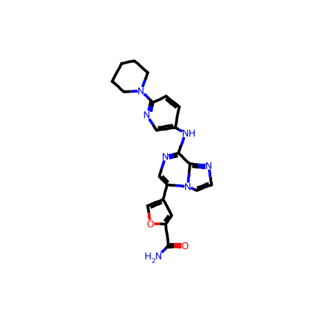 NC(=O)c1cc(-c2cnc(Nc3ccc(N4CCCCC4)nc3)c3nccn23)co1